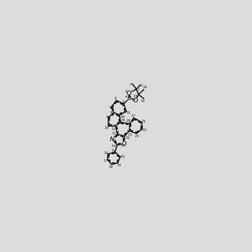 CC1(C)OB(c2ccc3ccc4c5nc(-c6ccccc6)oc5c5ccccc5c4c3c2)OC1(C)C